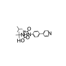 CC(C)C[C@H](C(=O)Nc1ccc(-c2ccncc2)cc1)N(C(=O)O)C(C)(C)C